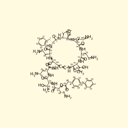 CC(C)C[C@@H]1NC(=O)[C@@H](Cc2ccccc2)NC(=O)[C@H](CCN)NC(=O)[C@@H](NC(=O)[C@H](CCN)NC(=O)[C@@H](NC(=O)[C@H](CCN)OC(=O)Cc2ccc(-c3ccccc3)cc2)C(C)O)CCNC(=O)[C@H](C(C)O)NC(=O)[C@H](CCN)NC(=O)[C@H](CCN)NC1=O